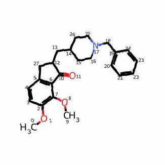 COc1ccc2c(c1OC)C(=O)C(CC1CCN(Cc3ccccc3)CC1)C2